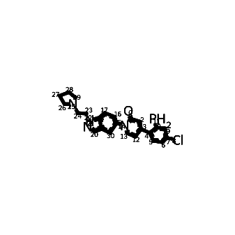 O=c1cc(-c2ccc(Cl)cc2P)ccn1-c1ccc2c(cnn2CCN2CCCC2)c1